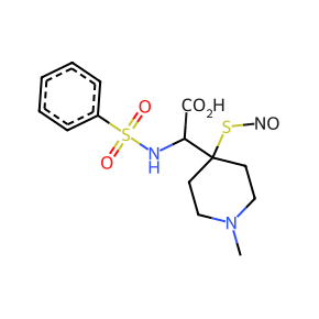 CN1CCC(SN=O)(C(NS(=O)(=O)c2ccccc2)C(=O)O)CC1